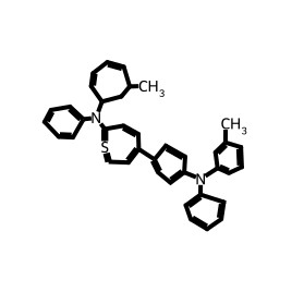 Cc1cccc(N(c2ccccc2)c2ccc(C3=CC=S=C(N(c4ccccc4)C4C=CC=CC(C)C4)C=C3)cc2)c1